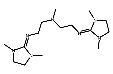 CN(CCN=C1N(C)CCN1C)CCN=C1N(C)CCN1C